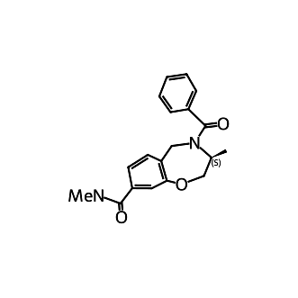 CNC(=O)c1ccc2c(c1)OC[C@H](C)N(C(=O)c1ccccc1)C2